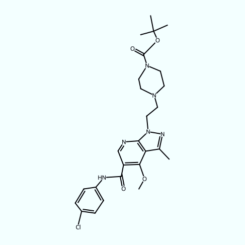 COc1c(C(=O)Nc2ccc(Cl)cc2)cnc2c1c(C)nn2CCN1CCN(C(=O)OC(C)(C)C)CC1